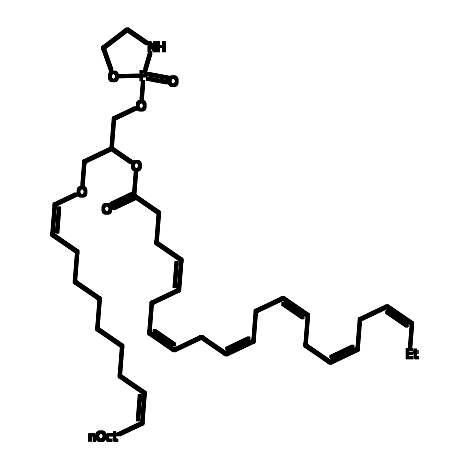 CC/C=C\C/C=C\C/C=C\C/C=C\C/C=C\C/C=C\CCC(=O)OC(CO/C=C\CCCCCC/C=C\CCCCCCCC)COP1(=O)NCCO1